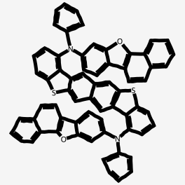 c1ccc(N(c2ccc3c(c2)oc2c4ccccc4ccc32)c2cccc3sc4cc5cc6c(cc5cc4c23)sc2cccc(N(c3ccccc3)c3ccc4c(c3)oc3c5ccccc5ccc43)c26)cc1